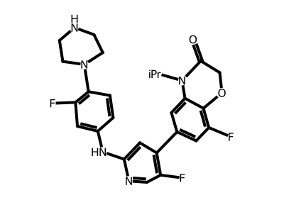 CC(C)N1C(=O)COc2c(F)cc(-c3cc(Nc4ccc(N5CCNCC5)c(F)c4)ncc3F)cc21